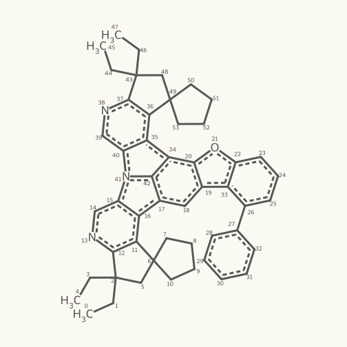 CCC1(CC)CC2(CCCC2)c2c1ncc1c2c2cc3c(oc4cccc(-c5ccccc5)c43)c3c4c5c(ncc4n1c23)C(CC)(CC)CC51CCCC1